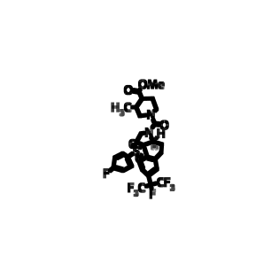 COC(=O)C1CCN(C(=O)N2CC[C@@]3(S(=O)(=O)c4ccc(F)cc4)c4ccc(C(F)(C(F)(F)F)C(F)(F)F)cc4CC[C@@H]23)CC1C